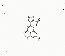 COc1cc(C(C)C)c2c(=O)oc(-c3cnn(C)c3[N+](=O)[O-])nc2c1